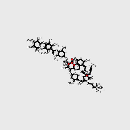 CC#C/C=C\C#C[C@H](OC1OC(C)C(NOC2CC(O)C(SC(=O)c3c(C)c(I)c(OC4OC(C)C(O)C(OC)C4O)c(OC)c3OC)C(C)O2)C(O)C1OC1CC(OC)C(N(CC)C(C)=O)CO1)C1=C(NC(=O)OC)C(=O)CC(O)/C1=C/CSC1CC(=O)N(CCC[Si](C)(C)O)C1=O